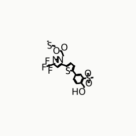 CSCOC(=O)Cn1nc(C(F)(F)F)cc1-c1ccc(-c2ccc(CO)c(S(C)(=O)=O)c2)s1